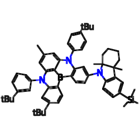 Cc1cc2c3c(c1)N(c1cccc(C(C)(C)C)c1)c1cc(C(C)(C)C)ccc1B3c1ccc(N3c4ccc([Si](C)(C)C)cc4C4(C)CCCCC34C)cc1N2c1ccc(C(C)(C)C)cc1